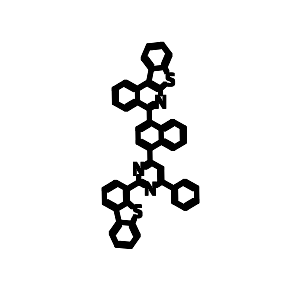 c1ccc(-c2cc(-c3ccc(-c4nc5sc6ccccc6c5c5ccccc45)c4ccccc34)nc(-c3cccc4c3sc3ccccc34)n2)cc1